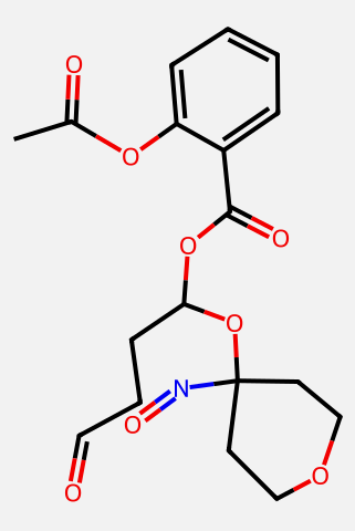 CC(=O)Oc1ccccc1C(=O)OC(CCC=O)OC1(N=O)CCOCC1